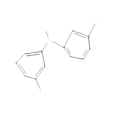 CN(c1cccc(Br)c1)c1cccc(Br)c1